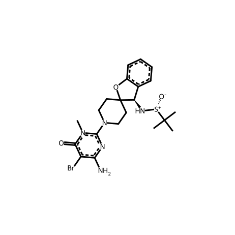 Cn1c(N2CCC3(CC2)Oc2ccccc2[C@H]3N[S@+]([O-])C(C)(C)C)nc(N)c(Br)c1=O